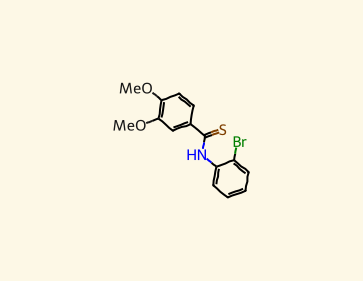 COc1ccc(C(=S)Nc2ccccc2Br)cc1OC